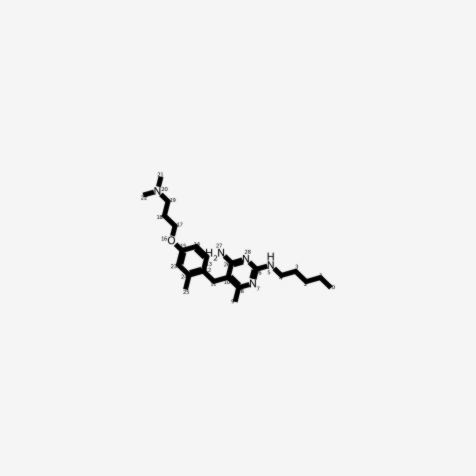 CCCCCNc1nc(C)c(Cc2ccc(OCCCN(C)C)cc2C)c(N)n1